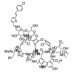 CN[C@H](CC(C)C)C(=O)NC1C(=O)N[C@@H](CC(N)=O)C(=O)N[C@H]2C(=O)N[C@H]3C(=O)N[C@H](C(=O)N[C@@H](C(=O)O)c4cc(O)cc(O)c4-c4cc3ccc4O)[C@H](O[C@H]3C[C@](C)(N)[C@@H](O)[C@H](C)O3)c3ccc(c(Cl)c3)Oc3cc2cc(c3O[C@@H]2O[C@H](CO)[C@@H](O[C@@H]3O[C@H](CNCc4ccc(/C=C/c5ccc(Cl)cc5)s4)[C@H](O)[C@H](O)[C@H]3O)[C@H](O)[C@H]2O)Oc2ccc(cc2Cl)[C@H]1O